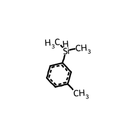 Cc1cccc([SiH](C)C)c1